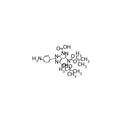 Cc1nc(-c2ccc(N)cc2)nc2c1c(N(C(=O)OC(C)(C)C)C(=O)OC(C)(C)C)nn2C(=O)O